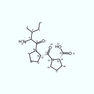 CCC(C)C(N)C(=O)N1CCC[C@H]1C(=O)N1CCC[C@H]1C(=O)O